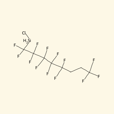 FC(F)(F)CCC(F)(F)C(F)(F)C(F)(F)C(F)(F)C(F)(F)[SiH2]Cl